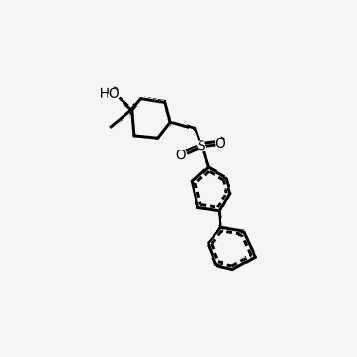 CC1(O)CCC(CS(=O)(=O)c2ccc(-c3ccccc3)cc2)CC1